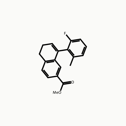 COC(=O)c1ccc2c(c1)C(c1c(C)cccc1F)=CCC2